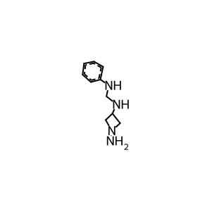 NN1CC(NCNc2ccccc2)C1